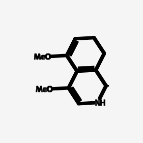 COC1=CCCC2=C1C(OC)=CN[CH]2